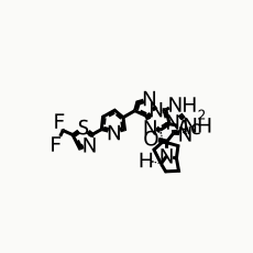 CC(=O)c1c([C@@H]2CC3CC[C@@H](C2)N3C(=O)c2nc[nH]n2)nc2c(-c3ccc(-c4ncc(C(F)F)s4)nc3)cnn2c1N